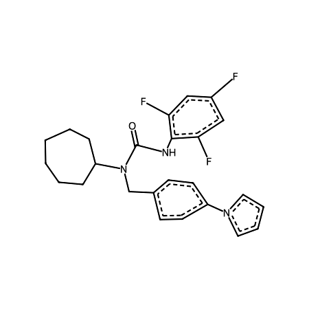 O=C(Nc1c(F)cc(F)cc1F)N(Cc1ccc(-n2cccc2)cc1)C1CCCCCC1